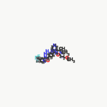 COC/C=C/C(=O)N(C)C(C)C1=C2C=NC=C[N+]2(N)C(c2ccc(C(=O)Nc3cc(C(F)(F)F)ccn3)cc2)=N1